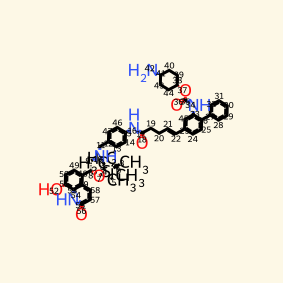 CC(C)(C)[Si](C)(C)O[C@@H](CNCc1ccc(NC(=O)CCC=Cc2ccc(-c3ccccc3)c(NC(=O)O[C@H]3CC[C@H](N)CC3)c2)cc1)c1ccc(O)c2[nH]c(=O)ccc12